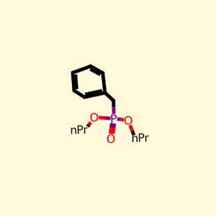 CCCOP(=O)(Cc1ccccc1)OCCC